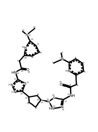 CN(C)c1cccc(CC(=O)NC2=NNN([C@H]3CCC(c4nnc(NC(=O)Cc5cccc(N(C)C)n5)s4)C3)S2)n1